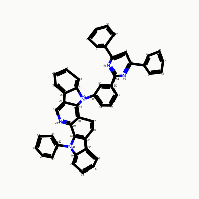 c1ccc(-c2cc(-c3ccccc3)nc(-c3cccc(-n4c5ccccc5c5cnc6c(ccc7c8ccccc8n(-c8ccccc8)c76)c54)c3)n2)cc1